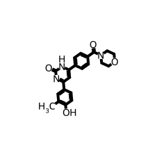 Cc1cc(-c2cc(-c3ccc(C(=O)N4CCOCC4)cc3)[nH]c(=O)n2)ccc1O